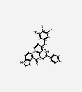 O=C(c1cccc2c1CCN2)N(CC(O)c1ccncc1)c1cc(Cc2cc(F)c(F)c(F)c2)ccn1